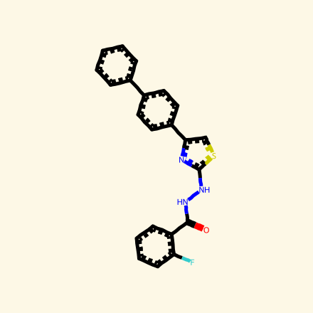 O=C(NNc1nc(-c2ccc(-c3ccccc3)cc2)cs1)c1ccccc1F